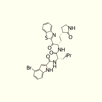 CC(C)C[C@H](NC(=O)c1cc2c(Br)cccc2[nH]1)C(=O)N[C@@H](CC[C@@H]1CCNC1=O)C(=O)c1nc2ccccc2s1